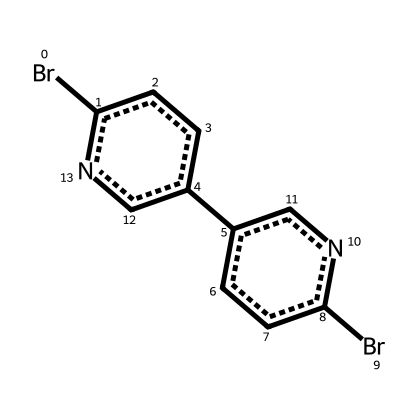 Brc1ccc(-c2ccc(Br)nc2)cn1